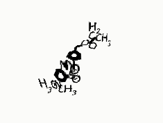 C=C(C)C(=O)OCCc1ccc(N=NC2C=CC(N(C)C)=CC2=S(=O)=O)cc1